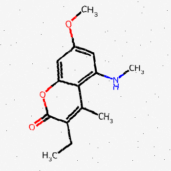 CCc1c(C)c2c(NC)cc(OC)cc2oc1=O